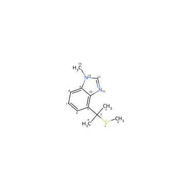 CSC(C)(C)c1cccc2c1ncn2C